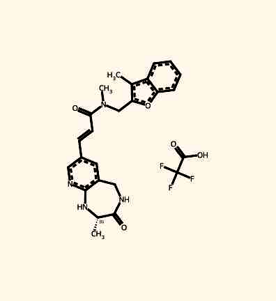 Cc1c(CN(C)C(=O)C=Cc2cnc3c(c2)CNC(=O)[C@H](C)N3)oc2ccccc12.O=C(O)C(F)(F)F